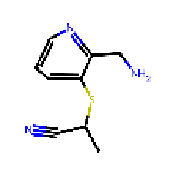 CC(C#N)Sc1cccnc1CN